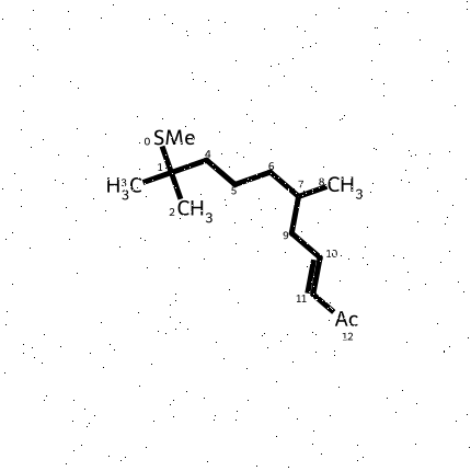 CSC(C)(C)CCCC(C)CC=CC(C)=O